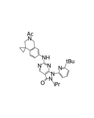 CC(=O)N1Cc2cc(Nc3ncc4c(=O)n(C(C)C)n(-c5cccc(C(C)(C)C)n5)c4n3)ccc2C2(CC2)C1